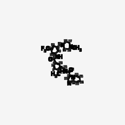 Cc1ccc(C(=O)Nc2cc(CN3CCN(C)CC3)cc(C(F)(F)F)c2)cc1CNC(=O)c1cnc2ccccn12